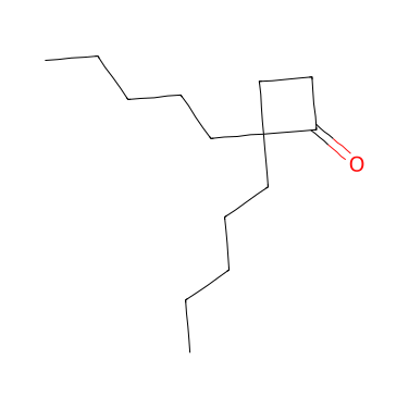 CCCCCC1(CCCCC)CCC1=O